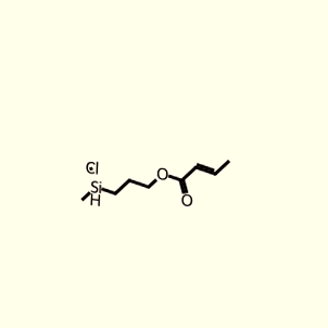 CC=CC(=O)OCCC[SiH](C)Cl